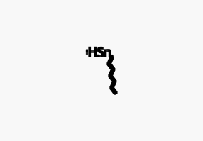 CCCCCC[CH2][SnH]